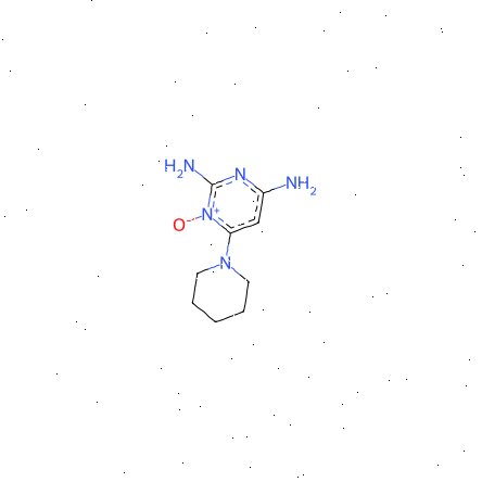 Nc1cc(N2CCCCC2)[n+]([O-])c(N)n1